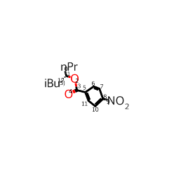 CCCC(OC(=O)c1ccc([N+](=O)[O-])cc1)[C@@H](C)CC